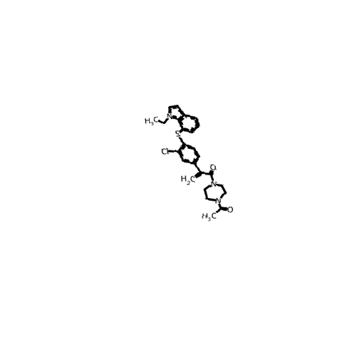 C=C(C(=O)N1CCN(C(C)=O)CC1)c1ccc(Sc2cccc3ccn(CC)c23)c(Cl)c1